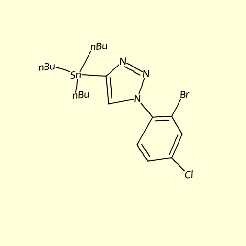 CCC[CH2][Sn]([CH2]CCC)([CH2]CCC)[c]1cn(-c2ccc(Cl)cc2Br)nn1